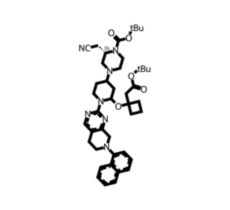 CC(C)(C)OC(=O)CC1(OC2CC(N3CCN(C(=O)OC(C)(C)C)[C@@H](CC#N)C3)CCN2c2ncc3c(n2)CN(c2cccc4ccccc24)CC3)CCC1